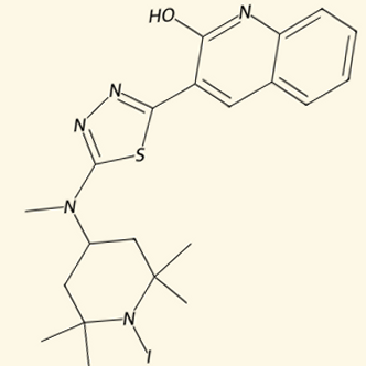 CN(c1nnc(-c2cc3ccccc3nc2O)s1)C1CC(C)(C)N(I)C(C)(C)C1